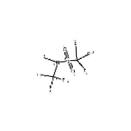 CN(C(F)(F)F)S(=O)(=O)C(F)(F)F